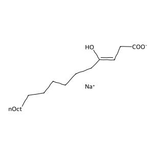 CCCCCCCCCCCCCCC(O)=CCC(=O)[O-].[Na+]